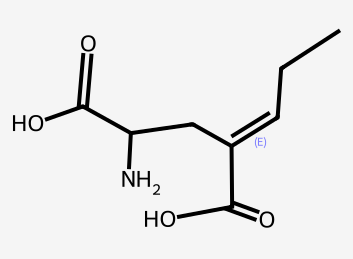 CC/C=C(\CC(N)C(=O)O)C(=O)O